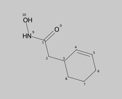 O=C(CC1C=CCCC1)NO